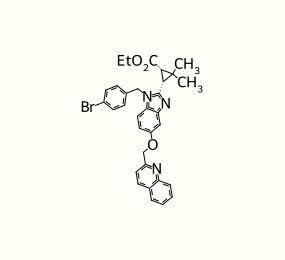 CCOC(=O)[C@H]1[C@@H](c2nc3cc(OCc4ccc5ccccc5n4)ccc3n2Cc2ccc(Br)cc2)C1(C)C